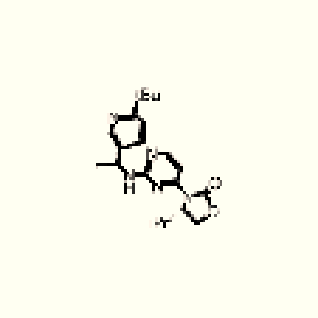 CC(C)[C@H]1COC(=O)N1c1ccnc(N[C@@H](C)c2ccc(C(C)(C)C)nc2)n1